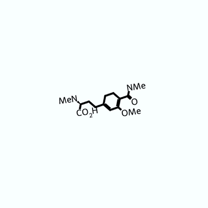 CNC(=O)C1=C(OC)C=C(CC[C@H](NC)C(=O)O)CC1